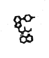 CC(CI)N(Cc1cn2c(N3CCN(C)CC3)cccc2n1)[C@H]1CCCc2cccnc21